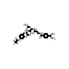 N=C(N)c1ccc(C(=O)NCCC(=O)N[C@@H](CC(=O)O)C(=O)N[C@@H](Cc2ccc(OC(=O)C(F)(F)F)cc2)C(=O)O)cc1